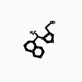 CC(c1cccc2ccccc12)n1cncc1CO